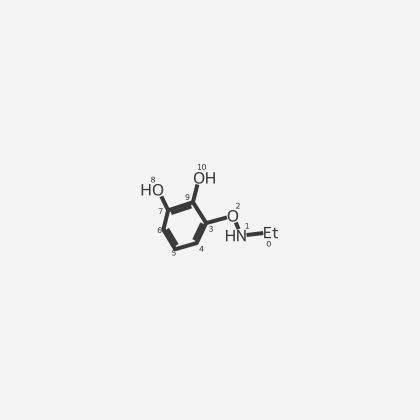 CCNOc1cccc(O)c1O